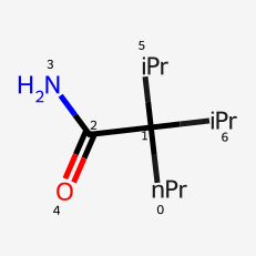 CCCC(C(N)=O)(C(C)C)C(C)C